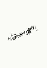 CCOC(=O)C=C(O)CCCCCCCCC(O)CC